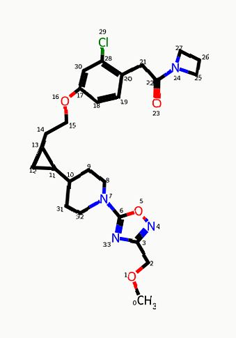 COCc1noc(N2CCC(C3CC3CCOc3ccc(CC(=O)N4CCC4)c(Cl)c3)CC2)n1